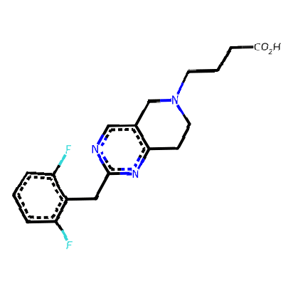 O=C(O)CCCN1CCc2nc(Cc3c(F)cccc3F)ncc2C1